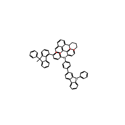 CC1(c2ccccc2)c2ccccc2-c2c(-c3ccc(N(c4ccc(-c5ccc6c7ccccc7n(-c7ccccc7)c6c5)cc4)c4ccccc4-c4cccc5cccc(C6CCCCC6)c45)cc3)cccc21